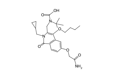 CCCCOc1c(CN(C(=O)O)C(C)(C)C)n(CC2CC2)c(=O)c2ccc(OCC(N)=O)cc12